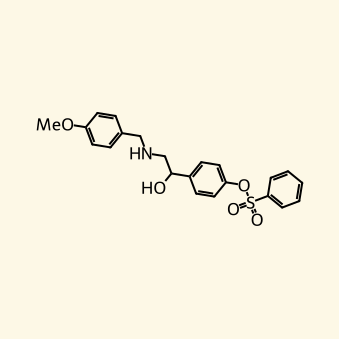 COc1ccc(CNCC(O)c2ccc(OS(=O)(=O)c3ccccc3)cc2)cc1